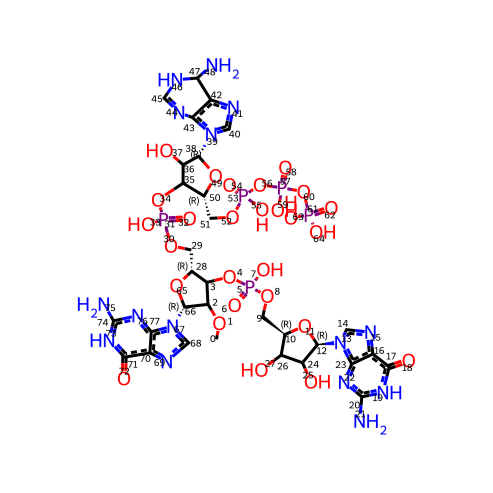 COC1C(OP(=O)(O)OC[C@H]2O[C@@H](n3cnc4c(=O)[nH]c(N)nc43)C(O)C2O)[C@@H](COP(=O)(O)OC2C(O)[C@H](n3cnc4c3N=CNC4N)O[C@@H]2COP(=O)(O)OP(=O)(O)OP(=O)(O)O)O[C@H]1n1cnc2c(=O)[nH]c(N)nc21